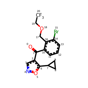 O=C(c1cnoc1C1CC1)c1cccc(Br)c1COCC(F)(F)F